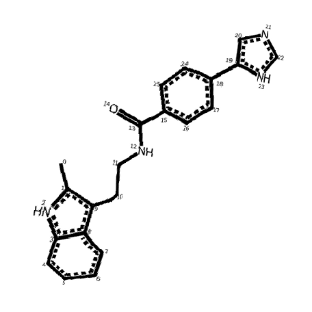 Cc1[nH]c2ccccc2c1CCNC(=O)c1ccc(-c2cnc[nH]2)cc1